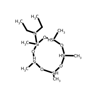 CCN(CC)[Si]1(C)O[SiH](C)O[SiH](C)O[SiH](C)O[SiH](C)O1